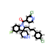 O=C(c1ccnc(Cl)c1)N1c2ccc(F)cc2C2(CCNCC2)C1C/C=C/c1ccc(Cl)cc1